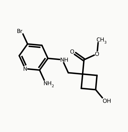 COC(=O)C1(CNc2cc(Br)cnc2N)CC(O)C1